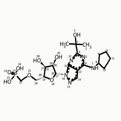 CC(C)(O)c1nc(NC2CCCC2)c2cnn([C@@H]3O[C@H](COCP(=O)(O)O)[C@@H](O)[C@H]3O)c2n1